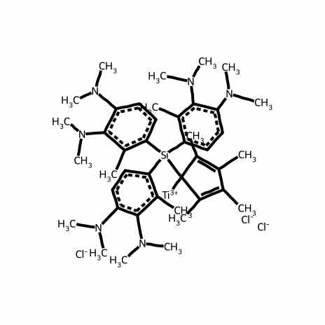 CC1=C(C)[C]([Ti+3])([Si](c2ccc(N(C)C)c(N(C)C)c2C)(c2ccc(N(C)C)c(N(C)C)c2C)c2ccc(N(C)C)c(N(C)C)c2C)C(C)=C1C.[Cl-].[Cl-].[Cl-]